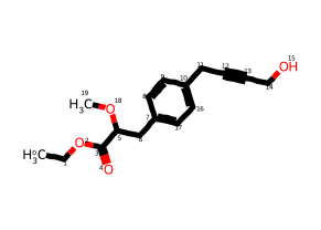 CCOC(=O)C(Cc1ccc(CC#CCO)cc1)OC